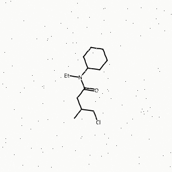 CCN(C(=O)CC(C)CCl)C1CCCCC1